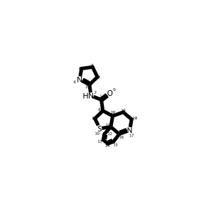 O=C(NC1=NCCC1)C1CSC23C=CC=CC2=NCCC13